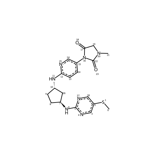 CSc1cnc(N[C@H]2CC[C@H](Nc3ccc(N4C(=O)CN(C)C4=O)cn3)C2)nc1